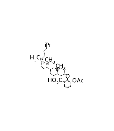 CC(=O)Oc1cccc(C(=O)O)c1OC1CC[C@@]2(C)C(CCC3C2CC[C@@]2(C)C3CC[C@@H]2[C@H](C)CCCC(C)C)C1